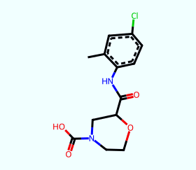 Cc1cc(Cl)ccc1NC(=O)C1CN(C(=O)O)CCO1